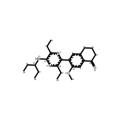 CCc1nc(-c2cc3c(cc2OC)C(=O)CCC3)c(CC)nc1NC(CC)CC